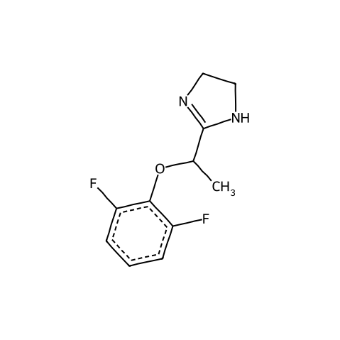 CC(Oc1c(F)cccc1F)C1=NCCN1